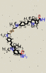 CN(CCSSCCN(C)c1ccc(/C=C/C2N(C)c3ccc(C(N)=O)cc3C2(C)C)cc1)c1ccc(/C=C/C2=[N+](C)c3ccc(C(N)=O)cc3C2(C)C)cc1